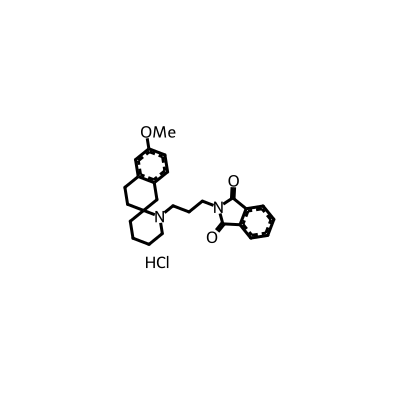 COc1ccc2c(c1)CCC1(CCCCN1CCCN1C(=O)c3ccccc3C1=O)C2.Cl